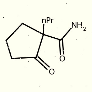 CCCC1(C(N)=O)CCCC1=O